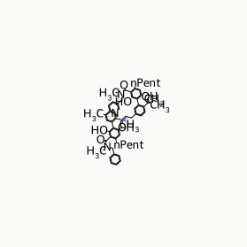 C=C(C)c1ccc(C/C=C(\C)c2ccc(C)cc2-c2c(O)cc(CCCCC)c(C(=O)N(C)Cc3ccccc3)c2O)cc1-c1c(O)cc(CCCCC)c(C(=O)N(C)Cc2cccnc2)c1O